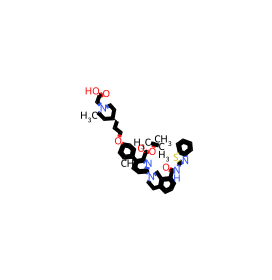 Cc1cc(OCCC[C@H]2CCN(CC(=O)O)[C@@H](C)C2)ccc1-c1ccc(N2CCc3cccc(C(=O)Nc4nc5ccccc5s4)c3C2)nc1C(=O)OC(C)(C)C